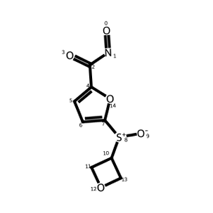 O=NC(=O)c1ccc([S+]([O-])C2COC2)o1